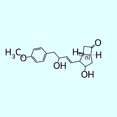 COc1ccc(CC(O)C=CC2C(O)C[C@@H]3C(=O)C[C@@H]23)cc1